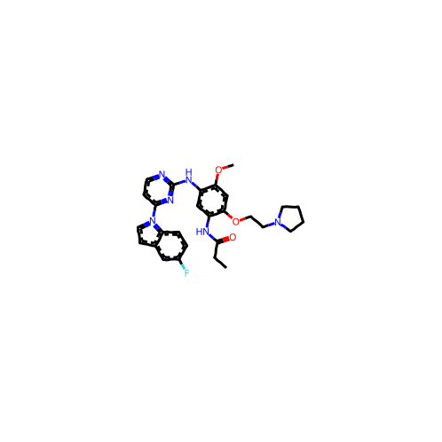 CCC(=O)Nc1cc(Nc2nccc(-n3ccc4cc(F)ccc43)n2)c(OC)cc1OCCN1CCCC1